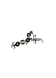 CN(C)[C@@H]1CCN(c2cc(N3CCN(c4ccc(C(F)(F)F)cc4)CC3)c(F)cc2C=NNC(N)=S)C1